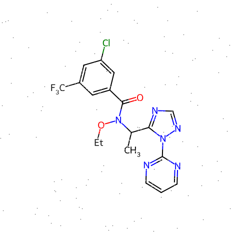 CCON(C(=O)c1cc(Cl)cc(C(F)(F)F)c1)C(C)c1ncnn1-c1ncccn1